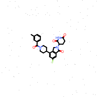 Cc1cccc(C(=O)N2CCC(c3cc(F)cc4c3CN(C3CCC(=O)NC3=O)C4=O)CC2)c1